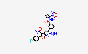 CCNc1nc2oc(-c3ccc(F)cc3)c(C(=O)NC)c2cc1-c1cccc(C(=O)NC2(c3ncon3)CCC2)c1